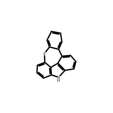 c1ccc2c(c1)sc1cccc3[nH]c4cccc2c4c31